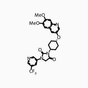 COc1cc2cc(O[C@H]3CC[C@H](N4C(=O)CN(c5cncc(C(F)(F)F)c5)C4=O)CC3)cnc2cc1OC